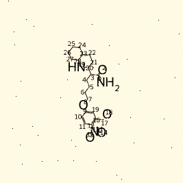 NC(=O)C(CCCCOc1ccc([N+](=O)[O-])c(C=O)c1)C1CCC2CCCCC2N1